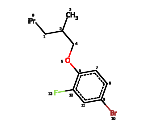 CC(C)CC(C)COc1ccc(Br)cc1F